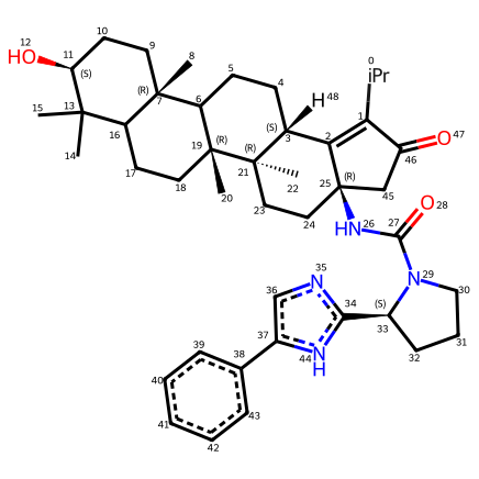 CC(C)C1=C2[C@H]3CCC4[C@@]5(C)CC[C@H](O)C(C)(C)C5CC[C@@]4(C)[C@]3(C)CC[C@@]2(NC(=O)N2CCC[C@H]2c2ncc(-c3ccccc3)[nH]2)CC1=O